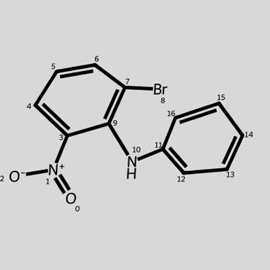 O=[N+]([O-])c1cccc(Br)c1Nc1ccccc1